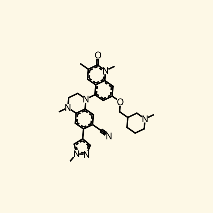 Cc1cc2c(N3CCN(C)c4cc(-c5cnn(C)c5)c(C#N)cc43)cc(OCC3CCCN(C)C3)cc2n(C)c1=O